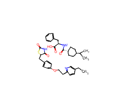 CC(C)[C@H]1CC[C@H](C(=O)N[C@H](Cc2ccccc2)C(=O)O)CC1.CCc1ccc(CCOc2ccc(CC3SC(=O)NC3=O)cc2)nc1